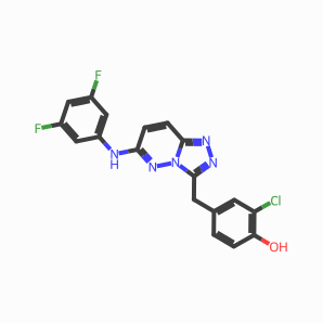 Oc1ccc(Cc2nnc3ccc(Nc4cc(F)cc(F)c4)nn23)cc1Cl